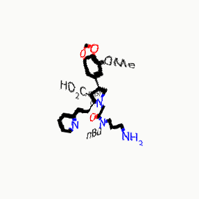 CCCCN(CCCN)C(=O)CN1C[C@H](c2cc(OC)c3c(c2)OCO3)[C@@H](C(=O)O)[C@@H]1CCc1ccccn1